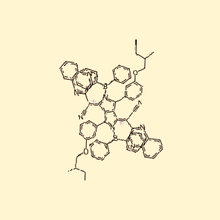 CCC(C)COc1cccc(-c2c3/c(=C(\C#N)c4cnc5ccccc5n4)n(B(c4ccccc4)c4ccccc4)c(-c4cccc(OCC(C)CC)c4)c3/c(=C(\C#N)c3cnc4ccccc4n3)n2B(c2ccccc2)c2ccccc2)c1